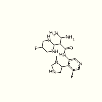 CN1CNCC1c1c(F)cncc1NC(=O)C(C(N)N)C1NCC(F)CN1